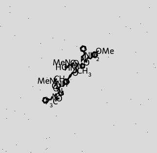 CN[C@@H](C)C(=O)N[C@@H](Cc1ccc(C#CCO[C@H](C)[C@H](NC(=O)[C@H](CO)NC)C(=O)N2CCC[C@H]2CN(CCc2ccccc2)C(=O)[C@H](N)Cc2ccc(OC)cc2)cc1)C(=O)N1CCC[C@H]1CN(CCc1ccccc1)C(=O)C(F)(F)F